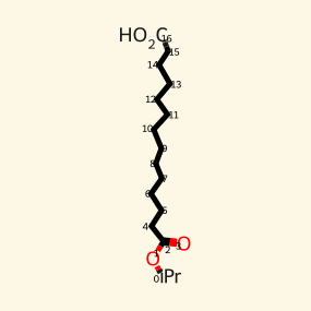 CC(C)OC(=O)CCCCCCCCCCCCC(=O)O